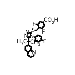 CC(C)(c1ccc2cccnc2c1)c1nnc(SCc2c(F)cc(C(=O)O)cc2F)n1-c1ccc(F)cc1